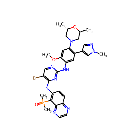 COc1cc(N2C[C@H](C)O[C@@H](C)C2)c(-c2cnn(C)c2)cc1Nc1ncc(Br)c(Nc2ccc3nccnc3c2P(C)(C)=O)n1